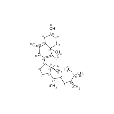 C=C(CCC(C)C1CCC2C3=C(CC[C@@]21C)C1(C)CCC(O)CC1C(=O)O3)C(C)C